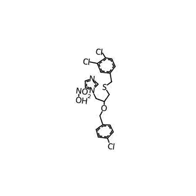 Clc1ccc(COC(CSCc2ccc(Cl)c(Cl)c2)Cn2ccnc2)cc1.O=[N+]([O-])O